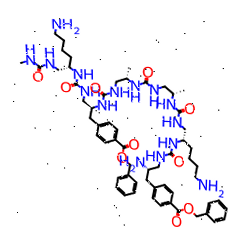 CNC(=O)NC[C@H](CCCCN)NC(=O)NC[C@H](Cc1ccc(C(=O)OCc2ccccc2)cc1)NC(=O)NC[C@H](C)NC(=O)NC[C@H](C)NC(=O)NC[C@H](CCCCN)NC(=O)NC[C@@H](N)Cc1ccc(C(=O)OCc2ccccc2)cc1